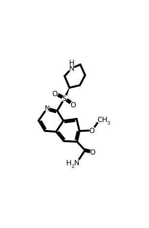 COc1cc2c(S(=O)(=O)[C@@H]3CCCNC3)nccc2cc1C(N)=O